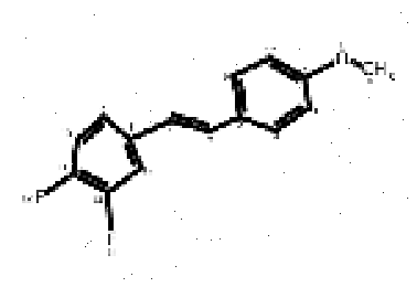 COc1ccc(/C=C/c2ccc(F)c(F)c2)cc1